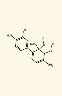 CCCCc1cc(C2=CC=C(N)C(OCCC)C2(OC)OCC)ccc1N